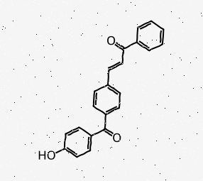 O=C(C=Cc1ccc(C(=O)c2ccc(O)cc2)cc1)c1ccccc1